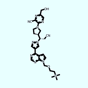 C[Si](C)(C)CCOCn1ccc2c(-c3cnn([C@@H](CC#N)[C@H]4CCN(c5ncc(CO)nc5C#N)C4)c3)ncnc21